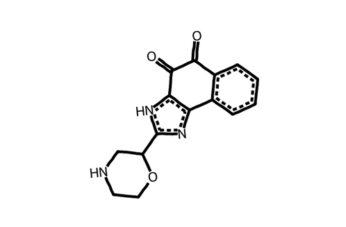 O=C1C(=O)c2[nH]c(C3CNCCO3)nc2-c2ccccc21